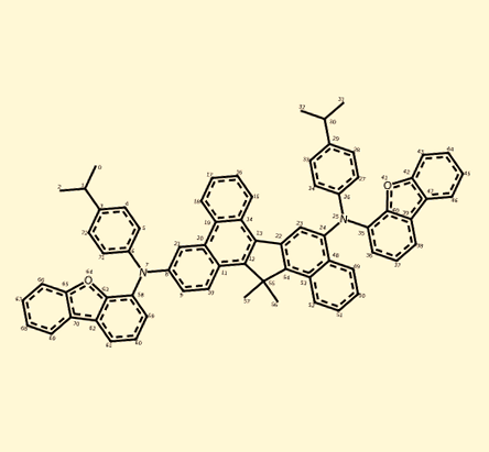 CC(C)c1ccc(N(c2ccc3c4c(c5ccccc5c3c2)-c2cc(N(c3ccc(C(C)C)cc3)c3cccc5c3oc3ccccc35)c3ccccc3c2C4(C)C)c2cccc3c2oc2ccccc23)cc1